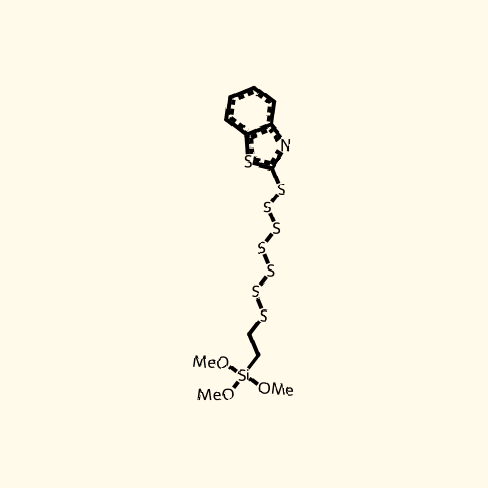 CO[Si](CCSSSSSSSc1nc2ccccc2s1)(OC)OC